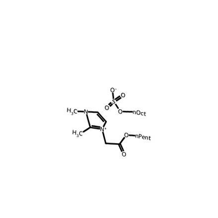 CCCCCCCCOS(=O)(=O)[O-].CCCCCOC(=O)C[n+]1ccn(C)c1C